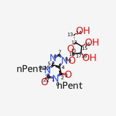 CCCCCn1c(=O)c2c(ncn2O[C@H]2O[C@H](CO)[C@@H](O)[C@H]2O)n(CCCCC)c1=O